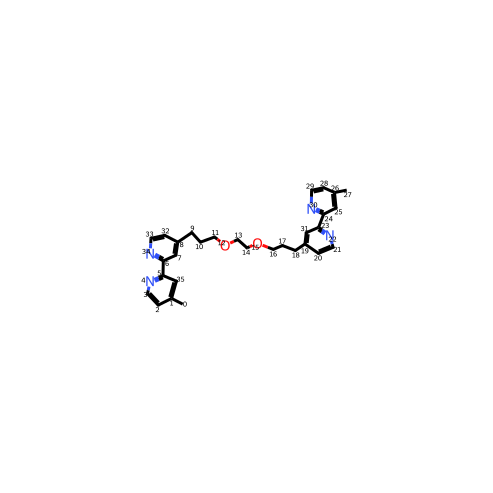 Cc1ccnc(-c2cc(CCCOCCOCCCc3ccnc(-c4cc(C)ccn4)c3)ccn2)c1